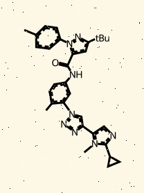 Cc1ccc(-n2nc(C(C)(C)C)cc2C(=O)Nc2ccc(C)c(-n3cc(-c4cnc(C5CC5)n4C)nn3)c2)cc1